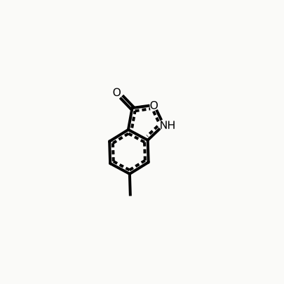 Cc1ccc2c(=O)o[nH]c2c1